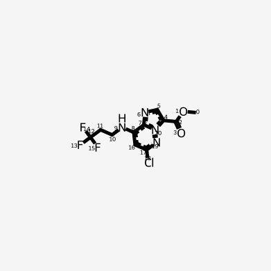 COC(=O)c1cnc2c(NCCC(F)(F)F)cc(Cl)nn12